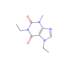 CCn1c(=O)c2c(ncn2CC)n(C)c1=O